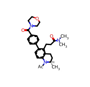 CC(=O)N1c2ccc(-c3ccc(C(=O)N4CCOCC4)cc3)c(CCC(=O)N(C)C)c2CC[C@@H]1C